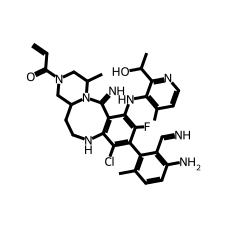 C=CC(=O)N1CC(C)N2C(=N)c3c(Nc4c(C)ccnc4C(C)O)c(F)c(-c4c(C)ccc(N)c4C=N)c(Cl)c3NCCC2C1